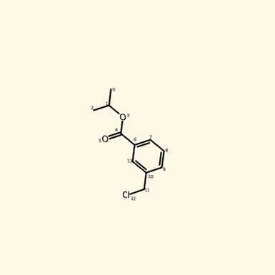 CC(C)OC(=O)c1cccc(CCl)c1